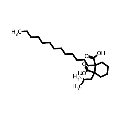 CCCCCCCCCCCCCC1(C(=O)O)CCCCC1(CC(C)C)C(=O)O